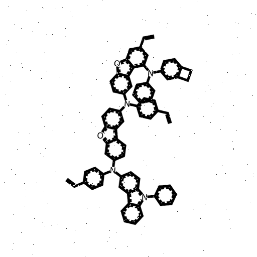 C=Cc1ccc(N(c2ccc3oc4cc(N(c5ccc(C=C)cc5)c5ccc6c(c5)c5ccccc5n6-c5ccccc5)ccc4c3c2)c2ccc3oc4cc(C=C)cc(N(c5ccccc5)c5ccc6c(c5)CC6)c4c3c2)cc1